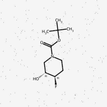 CC(C)(C)OC(=O)N1CC[C@@H](F)[C@H](O)C1